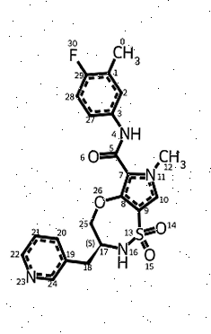 Cc1cc(NC(=O)c2c3c(cn2C)S(=O)(=O)N[C@@H](Cc2cccnc2)CO3)ccc1F